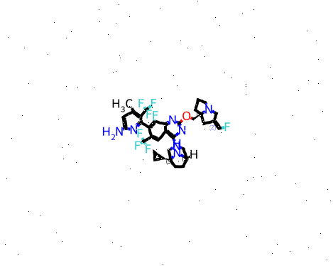 Cc1cc(N)nc(-c2c(C(F)(F)F)cc3c(N4C[C@@H]5CC[C@](C6CC6)(C4)N5)nc(OC[C@@]45CCCN4C/C(=C\F)C5)nc3c2F)c1C(F)(F)F